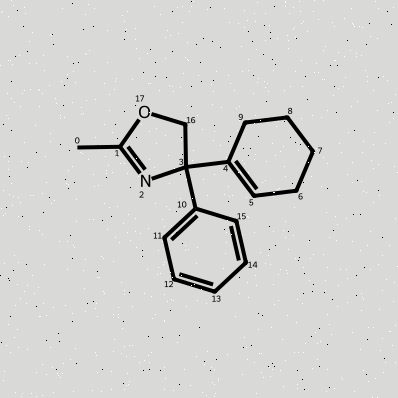 CC1=NC(C2=CCCCC2)(c2ccccc2)CO1